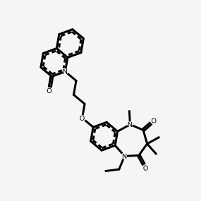 CCN1C(=O)C(C)(C)C(=O)N(C)c2cc(OCCCn3c(=O)ccc4ccccc43)ccc21